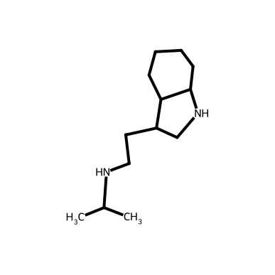 CC(C)NCCC1CNC2CCCCC12